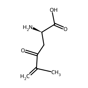 C=C(C)C(=O)C[C@@H](N)C(=O)O